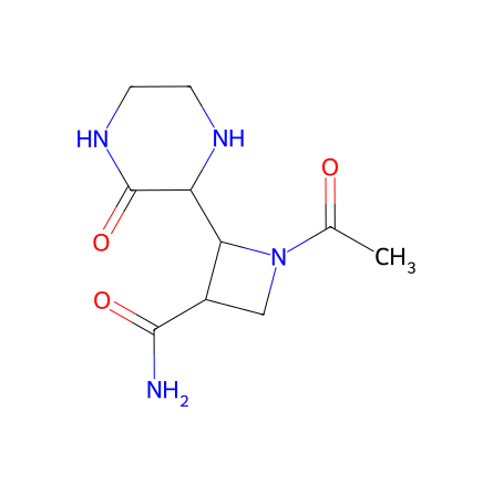 CC(=O)N1CC(C(N)=O)C1C1NCCNC1=O